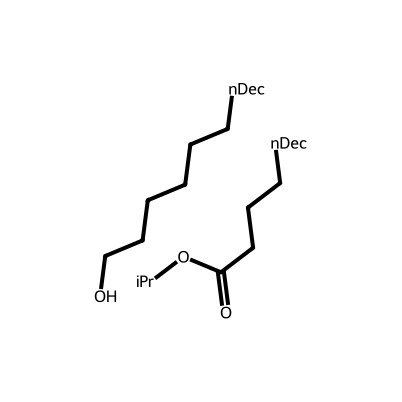 CCCCCCCCCCCCCC(=O)OC(C)C.CCCCCCCCCCCCCCCCO